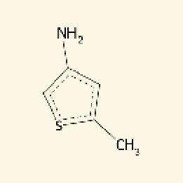 Cc1cc(N)cs1